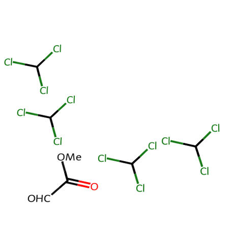 COC(=O)C=O.ClC(Cl)Cl.ClC(Cl)Cl.ClC(Cl)Cl.ClC(Cl)Cl